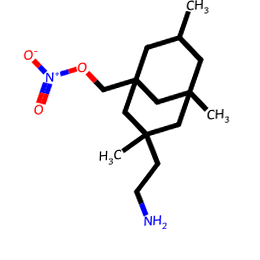 CC1CC2(C)CC(C)(CCN)CC(CO[N+](=O)[O-])(C1)C2